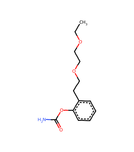 CCOCCOCCc1ccccc1OC(N)=O